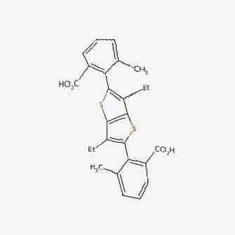 CCc1c(-c2c(C)cccc2C(=O)O)sc2c(CC)c(-c3c(C)cccc3C(=O)O)sc12